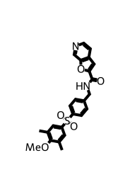 COc1c(C)cc(S(=O)(=O)c2ccc(CNC(=O)c3cc4ccncc4o3)cc2)cc1C